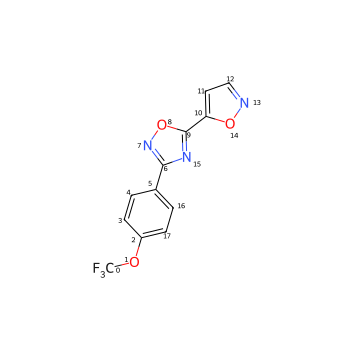 FC(F)(F)Oc1ccc(-c2noc(-c3ccno3)n2)cc1